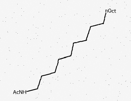 CCCCCCCCCCCCCCCCCNC(C)=O